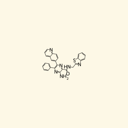 Nc1nc(-c2ccccc2)c(-c2ccc3ncccc3c2)nc1C(=O)NCc1nc2ccccc2s1